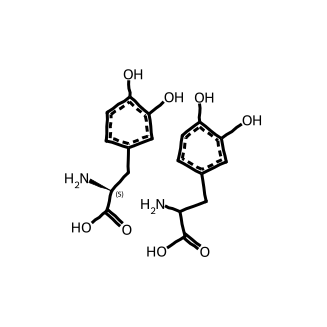 NC(Cc1ccc(O)c(O)c1)C(=O)O.N[C@@H](Cc1ccc(O)c(O)c1)C(=O)O